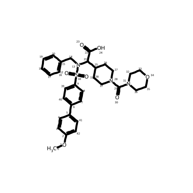 COc1ccc(-c2ccc(S(=O)(=O)N(Cc3ccccc3)C(C(=O)O)C3CCN(C(=O)N4CCOCC4)CC3)cc2)cc1